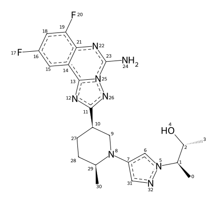 C[C@H]([C@@H](C)O)n1cc(N2C[C@H](c3nc4c5cc(F)cc(F)c5nc(N)n4n3)CC[C@@H]2C)cn1